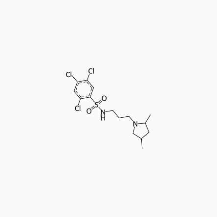 CC1CC(C)N(CCCNS(=O)(=O)c2cc(Cl)c(Cl)cc2Cl)C1